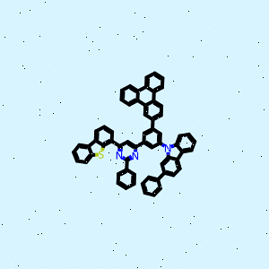 c1ccc(-c2ccc3c4ccccc4n(-c4cc(-c5ccc6c7ccccc7c7ccccc7c6c5)cc(-c5cc(-c6cccc7c6sc6ccccc67)nc(-c6ccccc6)n5)c4)c3c2)cc1